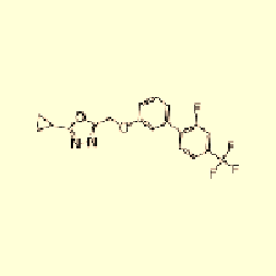 Fc1cc(C(F)(F)F)ccc1-c1cccc(OCc2nnc(C3CC3)o2)c1